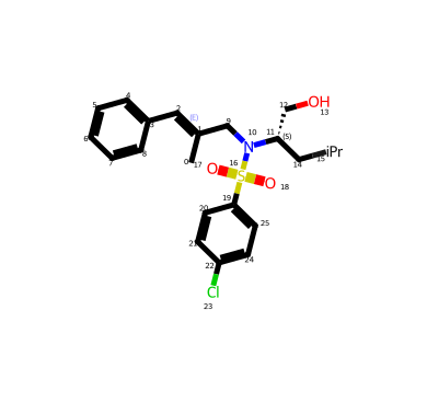 C/C(=C\c1ccccc1)CN([C@H](CO)CC(C)C)S(=O)(=O)c1ccc(Cl)cc1